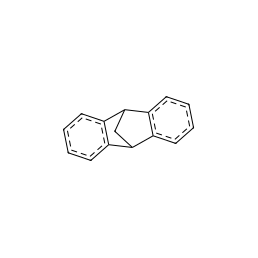 c1ccc2c(c1)C1CC2c2ccccc21